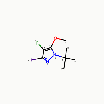 COc1c(F)c(I)nn1C(C)(C)C